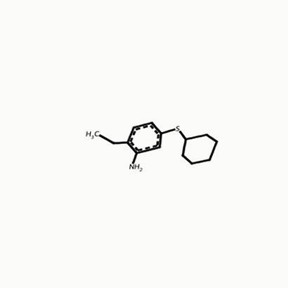 CCc1ccc(SC2CCCCC2)cc1N